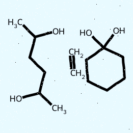 C=C.CC(O)CCC(C)O.OC1(O)CCCCC1